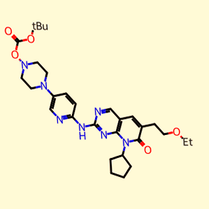 CCOCCc1cc2cnc(Nc3ccc(N4CCN(OC(=O)OC(C)(C)C)CC4)cn3)nc2n(C2CCCC2)c1=O